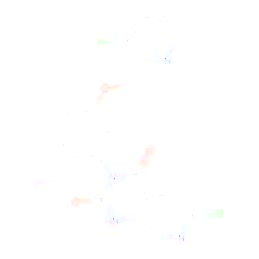 O=c1[nH]c2cnc(Cl)cc2c(=O)n1-c1cc(OCc2ncccc2F)ccc1CI